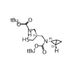 CC(C)(C)OC(=O)NC[C@H](CS)CN(C(=O)OC(C)(C)C)[C@@H]1C2C[C@@H]21